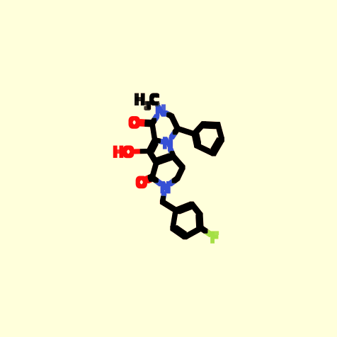 CN1CC(c2ccccc2)n2c3c(c(O)c2C1=O)C(=O)N(Cc1ccc(F)cc1)CC3